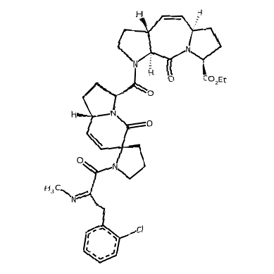 CCOC(=O)[C@@H]1CC[C@@H]2C=C[C@H]3CCN(C(=O)[C@@H]4CC[C@H]5C=C[C@]6(CCCN6C(=O)/C(Cc6ccccc6Cl)=N\C)C(=O)N54)[C@@H]3C(=O)N21